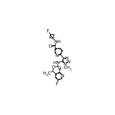 C[C@@H](OC(=O)Nc1c(-c2ccc(C(=O)NC34CC(F)(C3)C4)cn2)nnn1C)c1cc(F)cnc1F